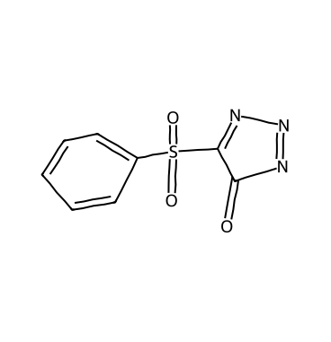 O=C1N=NN=C1S(=O)(=O)c1ccccc1